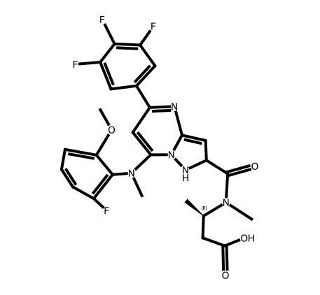 COc1cccc(F)c1N(C)C1=CC(c2cc(F)c(F)c(F)c2)=NC2=CC(C(=O)N(C)[C@H](C)CC(=O)O)NN21